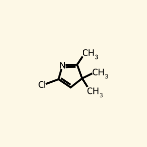 CC1=NC(Cl)=CC1(C)C